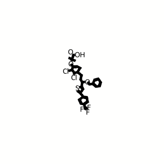 CC(C)(OC1=CCC(CCC(OCc2ccccc2)c2cc(-c3ccc(C(F)(F)F)cc3)cs2)C(Cl)C1Cl)C(=O)O